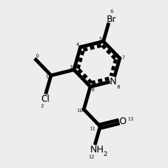 CC(Cl)c1cc(Br)cnc1CC(N)=O